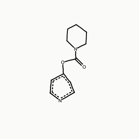 O=C(Oc1ccncc1)N1CCCCC1